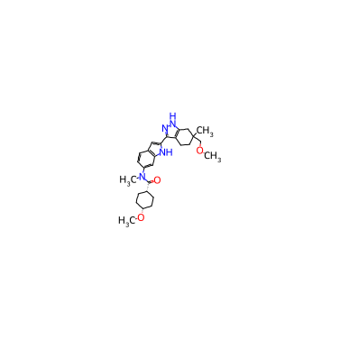 COCC1(C)CCc2c(-c3cc4ccc(N(C)C(=O)[C@H]5CC[C@@H](OC)CC5)cc4[nH]3)n[nH]c2C1